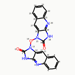 O=c1[nH]c2nc3ccccc3cc2n1On1c(=O)[nH]c2nc3ccccc3cc21